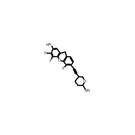 CCCc1cc2c(c(F)c1F)Oc1c(ccc(C#CC3CCC(CCC)OC3)c1F)C2